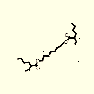 CCCCC(CC)C(=O)OCCCCCCCCOC(=O)C(CC)CCCC